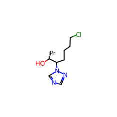 CC(C)C(O)C(CCCCCl)n1cncn1